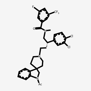 CC(=O)N1CC2(CCN(CC[C@H](CN(C)C(=O)c3cc(F)cc(C(F)(F)F)c3)c3ccc(Cl)c(Cl)c3)CC2)c2ccccc21